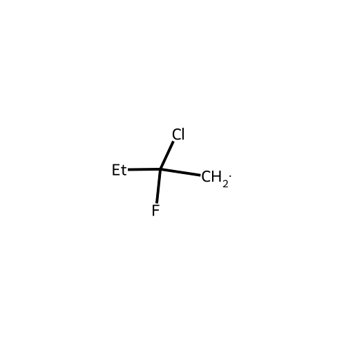 [CH2]C(F)(Cl)CC